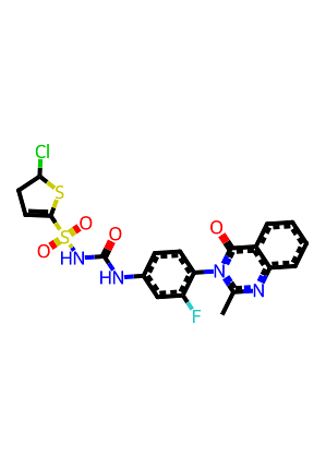 Cc1nc2ccccc2c(=O)n1-c1ccc(NC(=O)NS(=O)(=O)C2=CCC(Cl)S2)cc1F